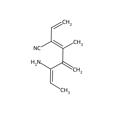 C=C/C(C#N)=C(\C)C(=C)/C(N)=C\C